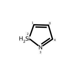 C1=C[SiH2]N=C1